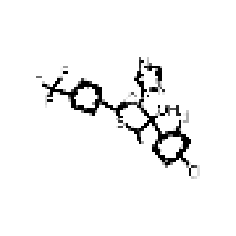 CC(SC(=O)c1ccc(C(F)(F)F)cc1)C(O)(Cn1cncn1)c1ccc(Cl)cc1Cl